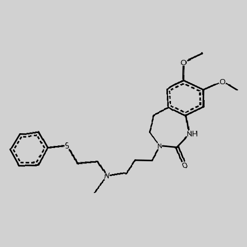 COc1cc2c(cc1OC)NC(=O)N(CCCN(C)CCSc1ccccc1)CC2